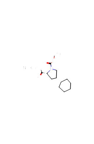 CN(O)C(=O)[C@@H]1C[C@@H](C2CCCCC2)CN1C(=O)OC(C)(C)C